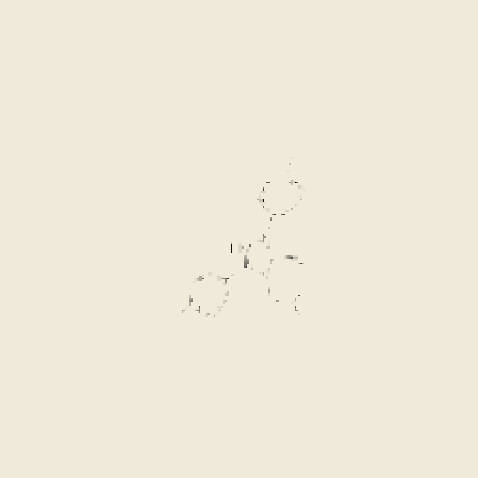 Cc1ccc(-c2[nH]n(-c3ccc(C)cc3)c(=O)c2CC(C)C)cc1